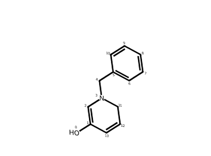 OC1=CN(Cc2ccccc2)CC=C1